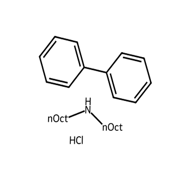 CCCCCCCCNCCCCCCCC.Cl.c1ccc(-c2ccccc2)cc1